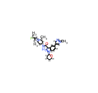 C[C@H]1C[C@H](NC(=O)c2nn(C3CCCCO3)c3ccc(-c4cnn(C)c4)cc23)CCN1CC(C)(C)F